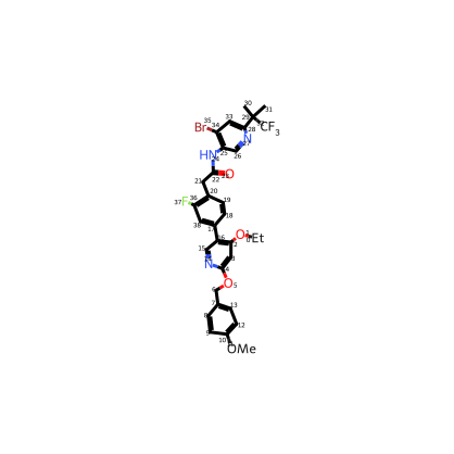 CCOc1cc(OCc2ccc(OC)cc2)ncc1-c1ccc(CC(=O)Nc2cnc(C(C)(C)C(F)(F)F)cc2Br)c(F)c1